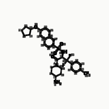 NC1CCN(C(=O)[C@@H](NS(=O)(=O)c2ccc3cc(OC4CCCC4)ccc3c2)C(F)(F)c2ccc(C(F)(F)F)cc2)CC1